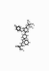 CC(C)(C)OC(=O)N[C@H](Cc1ccc(F)cc1)C(=O)N1CCC(CCCNC(=N)N)(C2CCCCC2)CC1